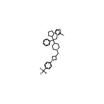 Cc1nccn1CC(c1ccccc1)(C1CCCC1)C1CCN(CC2CN(c3ccc(C(F)(F)F)cc3)C2)CC1